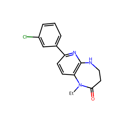 CCN1C(=O)CCNc2nc(-c3cccc(Cl)c3)ccc21